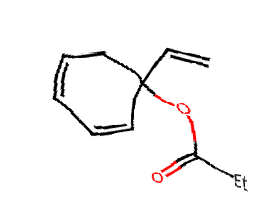 C=CC1(OC(=O)CC)C=CC=CC1